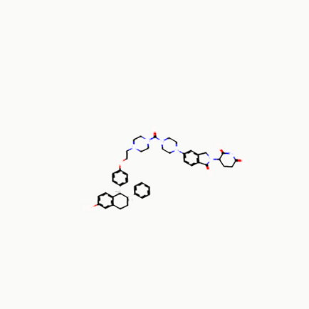 O=C1CCC(N2Cc3cc(N4CCN(C(=O)N5CCN(CCOc6ccc([C@@H]7c8ccc(O)cc8CC[C@@H]7c7ccccc7)cc6)CC5)CC4)ccc3C2=O)C(=O)N1